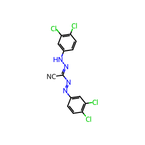 N#CC(/N=N/c1ccc(Cl)c(Cl)c1)=N\Nc1ccc(Cl)c(Cl)c1